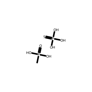 CP(=O)(O)O.OP(O)(O)=S